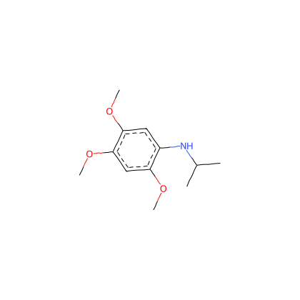 COc1cc(OC)c(OC)cc1NC(C)C